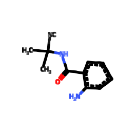 [C-]#[N+]C(C)(C)NC(=O)c1ccccc1N